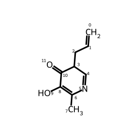 C=CCC1C=NC(C)=C(O)C1=O